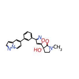 CN1CC[C@@](O)(c2cc(-c3cccc(-c4ccn5nccc5c4)c3)no2)C1=O